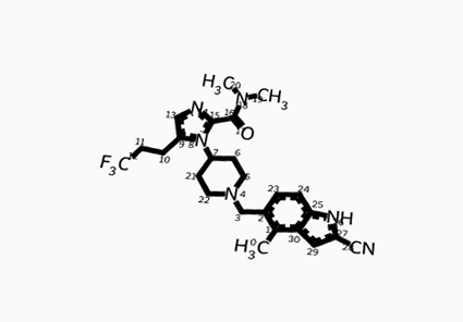 Cc1c(CN2CCC(n3c(CCC(F)(F)F)cnc3C(=O)N(C)C)CC2)ccc2[nH]c(C#N)cc12